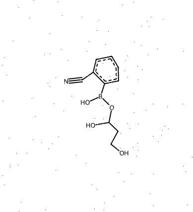 N#Cc1ccccc1B(O)OC(O)CCO